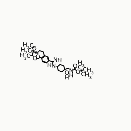 CO[C@](C)(C(C)=O)[C@H]1CCc2cc(C(=N)N[C@H]3CC[C@](O)(CNC(=O)OC(C)(C)C)CC3)ccc2O1